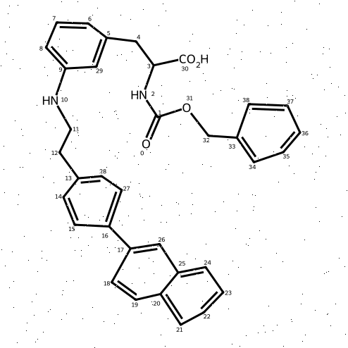 O=C(NC(Cc1cccc(NCCc2ccc(-c3ccc4ccccc4c3)cc2)c1)C(=O)O)OCc1ccccc1